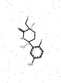 C[C@@]1(c2cc(N)ccc2F)CC[C@](F)(CF)C(=S)N1